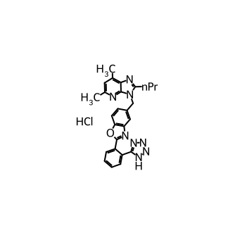 CCCc1nc2c(C)cc(C)nc2n1Cc1ccc2oc(-c3ccccc3-c3nnn[nH]3)nc2c1.Cl